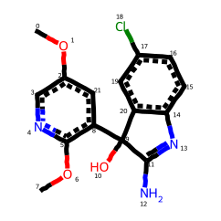 COc1cnc(OC)c(C2(O)C(N)=Nc3ccc(Cl)cc32)c1